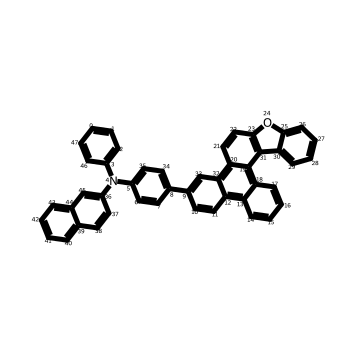 c1ccc(N(c2ccc(-c3ccc4c5ccccc5c5c(ccc6oc7ccccc7c65)c4c3)cc2)c2ccc3ccccc3c2)cc1